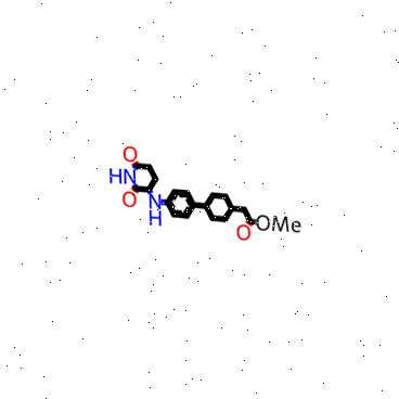 COC(=O)CC1CCC(c2ccc(NC3CCC(=O)NC3=O)cc2)CC1